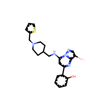 Bc1cnn2c(NCC3CCN(Cc4cccs4)CC3)cc(-c3ccccc3O)nc12